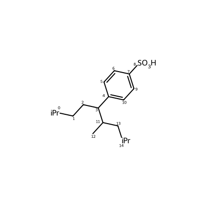 CC(C)CCC(c1ccc(S(=O)(=O)O)cc1)C(C)CC(C)C